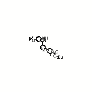 CC1CN(c2cc(-c3n[nH]c4ccc(OC5(C)CC5)cc34)ccn2)CCN1C(=O)OC(C)(C)C